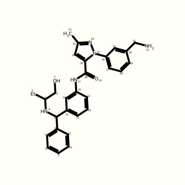 CCC(CO)NC(c1ccccc1)c1cccc(NC(=O)c2cc(C)nn2-c2cccc(CN)c2)c1